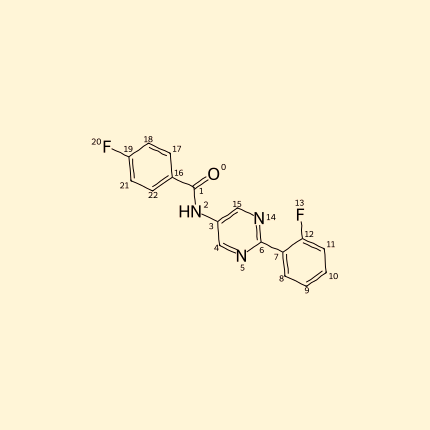 O=C(Nc1cnc(-c2ccccc2F)nc1)c1ccc(F)cc1